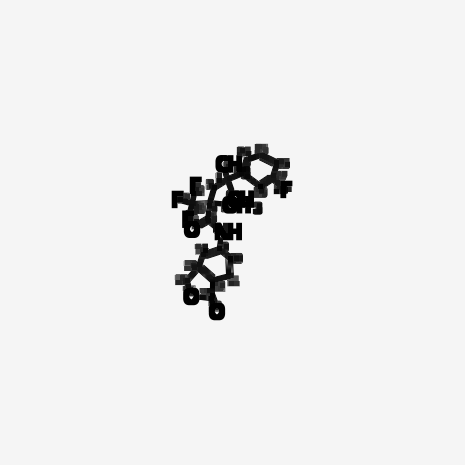 CC(C)(CC(O)(C(=O)Nc1ccc2c(c1)COC2=O)C(F)(F)F)c1cccc(F)c1